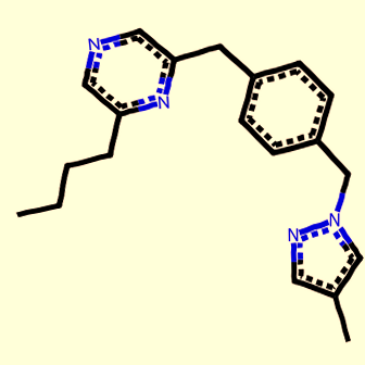 CCCCc1cncc(Cc2ccc(Cn3cc(C)cn3)cc2)n1